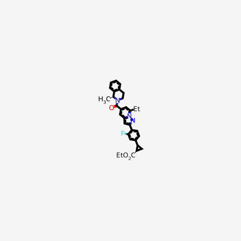 CCOC(=O)[C@H]1CC1c1ccc(-c2cc3cc(C(=O)N4CCc5ccccc5[C@H]4C)cc(CC)n3n2)c(F)c1